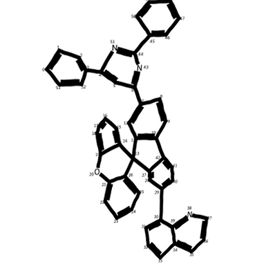 c1ccc(-c2cc(-c3ccc4c(c3)C3(c5ccccc5Oc5ccccc53)c3cc(-c5cccc6cccnc56)ccc3-4)nc(-c3ccccc3)n2)cc1